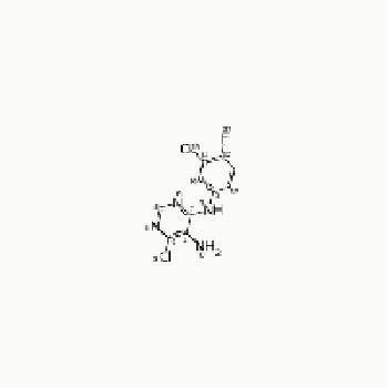 Nc1c(Cl)ncnc1Nc1ccc(F)c(Cl)c1